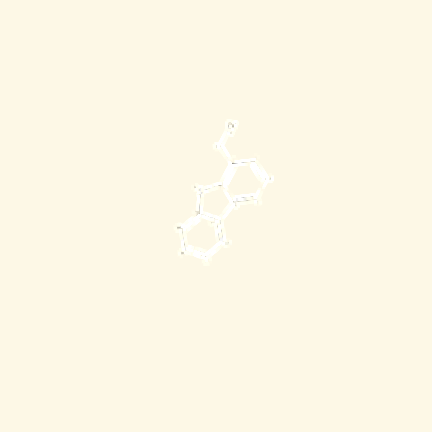 BrCc1cccc2c1sc1ccccc12